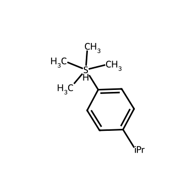 CC(C)c1ccc([SH](C)(C)(C)C)cc1